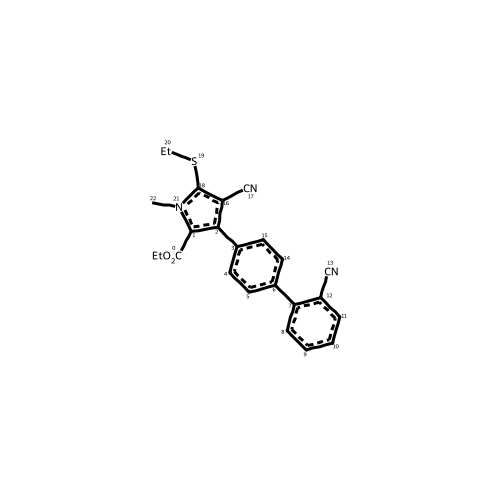 CCOC(=O)c1c(-c2ccc(-c3ccccc3C#N)cc2)c(C#N)c(SCC)n1C